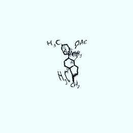 C=C1CCC2[C@H](CNC(C)=O)C([C@@]3(C)CC[C@H](C)C[C@@H]3COC(C)=O)CC[C@]12C